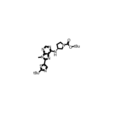 Cn1c(-c2cnc(C(C)(C)C)s2)nc2c(N[C@H]3CCN(C(=O)OC(C)(C)C)C3)ncnc21